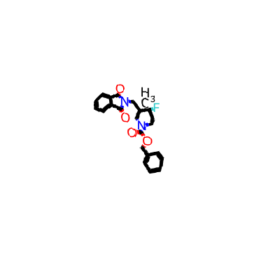 CC1(F)CCN(C(=O)OCc2ccccc2)CC1CN1C(=O)c2ccccc2C1=O